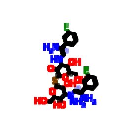 N/C(=C\NC1C(=O)[C@H](S[C@@H]2OC(CO)[C@H](O)C(N(N)/C=C(\N)c3cccc(F)c3)C2O)O[C@H](CO)C1O)c1cccc(F)c1